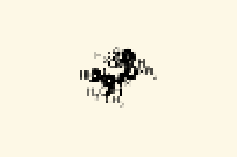 Cc1cc(NC2=CC3=C(Nc4ccccc4S(=O)(=O)C(C)C)N(C)C(N)CC3=N2)c(OC(C)C)cc1C1CCNCC1